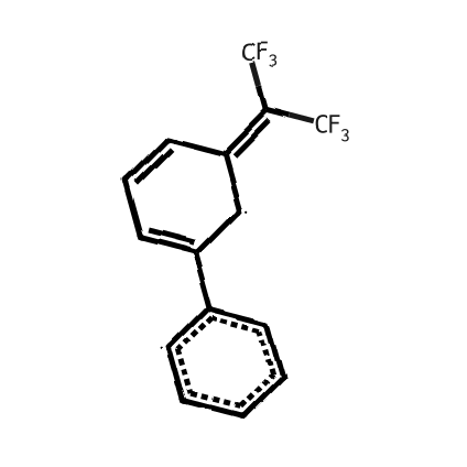 FC(F)(F)C(=C1[CH]C(c2[c]cccc2)=CC=C1)C(F)(F)F